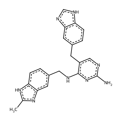 Cc1nc2cc(CNc3nc(N)ncc3Cc3ccc4[nH]cnc4c3)ccc2[nH]1